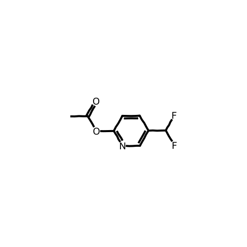 CC(=O)Oc1ccc(C(F)F)cn1